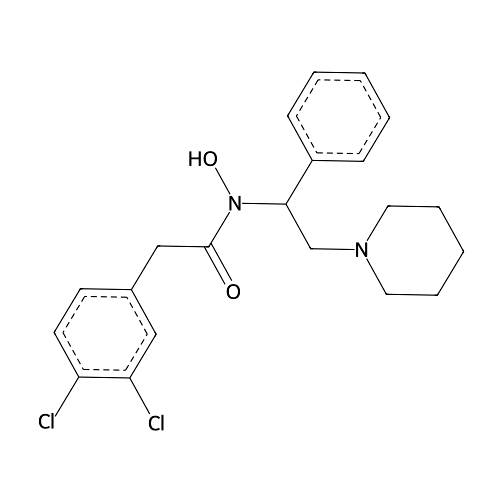 O=C(Cc1ccc(Cl)c(Cl)c1)N(O)C(CN1CCCCC1)c1ccccc1